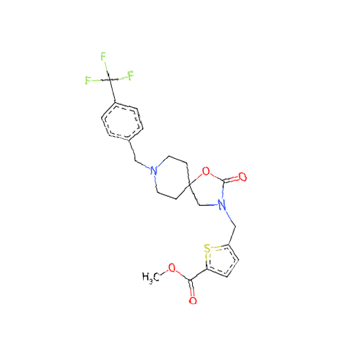 COC(=O)c1ccc(CN2CC3(CCN(Cc4ccc(C(F)(F)F)cc4)CC3)OC2=O)s1